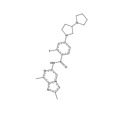 Cc1cn2cc(NC(=O)c3ccc(N4CCC(N5CCCC5)C4)cc3F)nc(C)c2n1